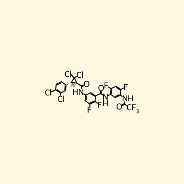 O=C(Nc1cc(NC(=O)C(F)(F)F)c(F)cc1F)c1cc(NC(=O)C2[C@H](c3ccc(Cl)c(Cl)c3)C2(Cl)Cl)cc(F)c1F